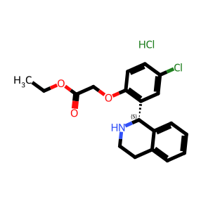 CCOC(=O)COc1ccc(Cl)cc1[C@H]1NCCc2ccccc21.Cl